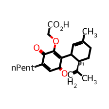 C=C(C)[C@@H]1CCC(C)=CC1C1=C(OCC(=O)O)C(=O)C(CCCCC)=CC1=O